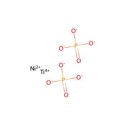 O=P([O-])([O-])[O-].O=P([O-])([O-])[O-].[Ni+2].[Ti+4]